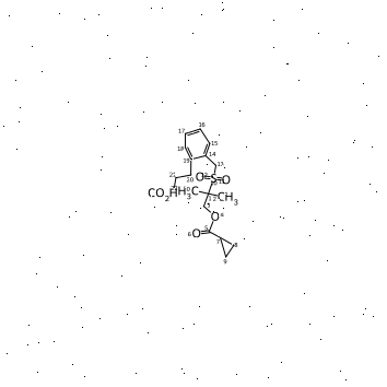 CC(C)(COC(=O)C1CC1)S(=O)(=O)Cc1ccccc1CCC(=O)O